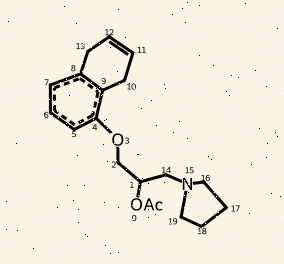 CC(=O)OC(COc1cccc2c1CC=CC2)CN1CCCC1